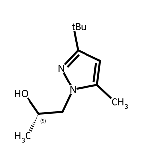 Cc1cc(C(C)(C)C)nn1C[C@H](C)O